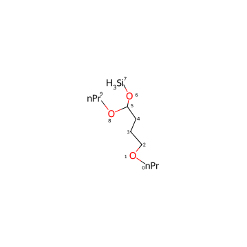 CCCOCCCC(O[SiH3])OCCC